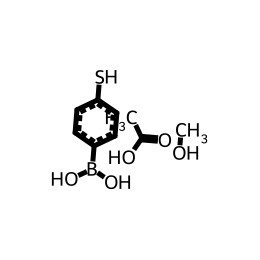 CC(=O)O.CO.OB(O)c1ccc(S)cc1